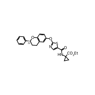 CCOC(=O)C1(NC(=O)c2cnc(Oc3ccc4c(c3)CC[C@@H](c3ccccc3)O4)s2)CC1